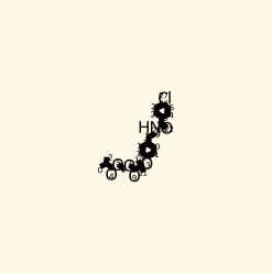 CC(C)C(=O)OCOC(=O)C(C)(C)Oc1ccc(CCNC(=O)c2ccc(Cl)cc2)cc1